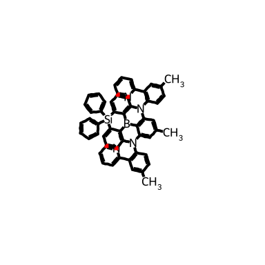 Cc1ccc(N2c3cc(C)cc4c3B3c5c2cccc5[Si](c2ccccc2)(c2ccccc2)c2cccc(c23)N4c2ccc(C)cc2-c2ccccn2)c(-c2ccccn2)c1